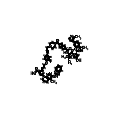 Cc1ncsc1-c1ccc([C@H](C)NC(=O)[C@@H]2C[C@@H](O)CN2C(=O)C(NC(=O)C2CC3(C2)CC(C(=O)N2CCN(CC#Cc4ccc(OCCCc5sc(N6CCCc7c6nnc(Nc6nc8ccccc8s6)c7C)nc5C(=O)O)c(F)c4)CC2)C3)C(C)(C)C)cc1